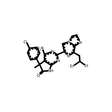 CCC(CC)Cc1nc(-c2nc(N)c3c(n2)NC(=O)C3(C)c2ccc(Cl)cc2)cn2ccnc12